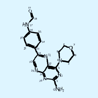 Nc1nc(N2CCOCC2)c2nc(-c3ccc(NC=O)cc3)cnc2n1